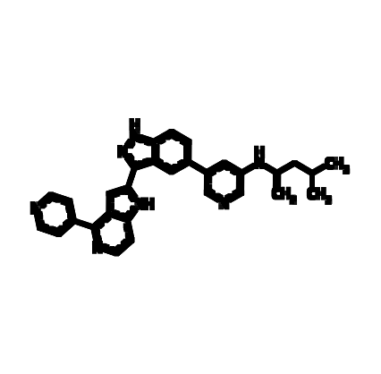 C=C(CC(C)C)Nc1cncc(-c2ccc3[nH]nc(-c4cc5c(-c6ccncc6)nccc5[nH]4)c3c2)c1